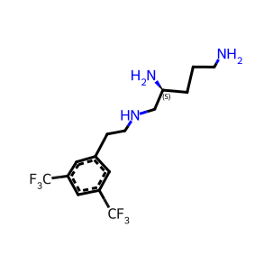 NCCC[C@H](N)CNCCc1cc(C(F)(F)F)cc(C(F)(F)F)c1